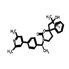 Cc1cc(-c2ccc([C@H](C)N3CCC(CC(C)(C)O)(c4ccccc4)OC3=O)cc2)cc(C)n1